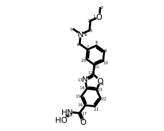 COCCN(C)Cc1cccc(-c2nc3cc(C(=O)NO)ccc3o2)c1